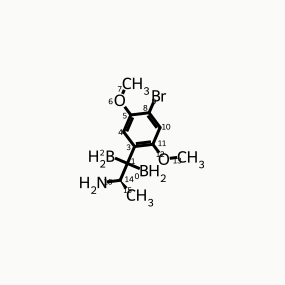 BC(B)(c1cc(OC)c(Br)cc1OC)[C@@H](C)N